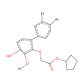 CCOc1c(O)ccc(-c2ccc(C(C)=O)c(CC)c2)c1OCC(=O)OC1CCCC1